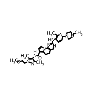 COCCn1nc(C)c(NC(=O)c2ccn3c2CCc2cnc(Nc4ccc(N5CCN(C)CC5)nc4C)nc2-3)c1C